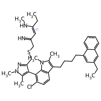 CC/C(=C/C(=N)CSCc1nn(C)c(C)c1-c1c(Cl)ccc2c(CCCCc3cc(CC)cc4ccccc34)c(C)n(C)c12)NC